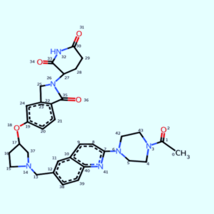 CC(=O)N1CCN(c2ccc3cc(CN4CCC(Oc5ccc6c(c5)CN(C5CCC(=O)NC5=O)C6=O)C4)ccc3n2)CC1